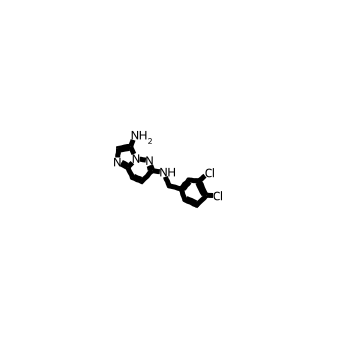 Nc1cnc2ccc(NCc3ccc(Cl)c(Cl)c3)nn12